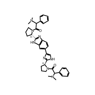 CN(C)C(C(=O)N1CCC[C@H]1c1nc(-c2ccc3nc([C@@H]4CCCN4C(=O)C(c4ccccc4)N(C)C)[nH]c3c2)c[nH]1)c1ccccc1